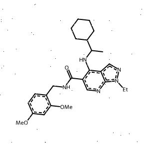 CCn1ncc2c(NC(C)C3CCCCC3)c(C(=O)NCc3ccc(OC)cc3OC)cnc21